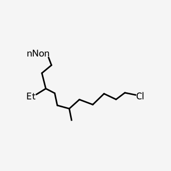 CCCCCCCCCCCC(CC)CCC(C)CCCCCCl